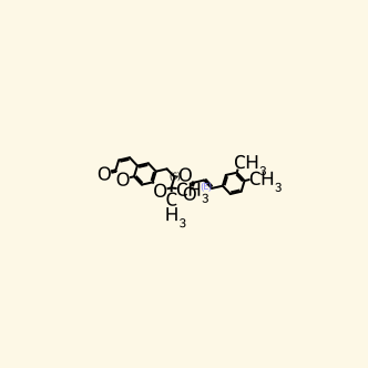 Cc1ccc(/C=C/C(=O)O[C@H]2Cc3cc4ccc(=O)oc4cc3OC2(C)C)cc1C